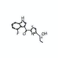 CC[C@@H](O)c1csc(C(=O)c2c[nH]c3cccc(F)c23)n1